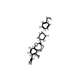 CCc1ccc([C@H]2CC[C@H](C(=O)Oc3ccc(C#N)c(F)c3F)CC2)cc1